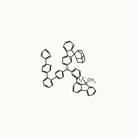 CC1(C)c2ccccc2-c2cccc(-c3cccc(N(c4ccc(-c5ccccc5-c5ccc(-c6ccccc6)cc5)cc4)c4ccc5c(c4)C4(c6ccccc6-5)C5CC6CC(C5)CC4C6)c3)c21